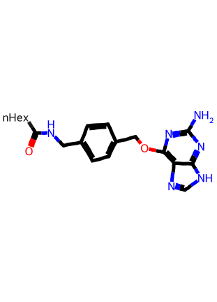 CCCCCCC(=O)NCc1ccc(COc2nc(N)nc3[nH]cnc23)cc1